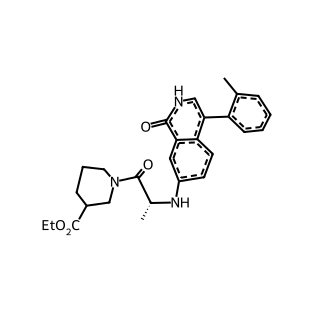 CCOC(=O)C1CCCN(C(=O)[C@@H](C)Nc2ccc3c(-c4ccccc4C)c[nH]c(=O)c3c2)C1